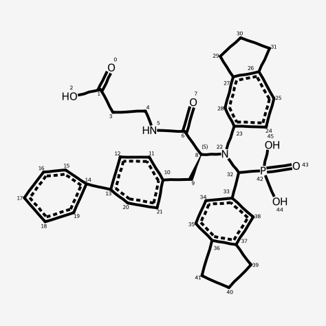 O=C(O)CCNC(=O)[C@H](Cc1ccc(-c2ccccc2)cc1)N(c1ccc2c(c1)CCC2)C(c1ccc2c(c1)CCC2)P(=O)(O)O